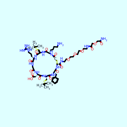 CC(C)(C)S/C=C1/NC(=O)[C@H](CCCCN)NC(=O)CS[C@@H](C(=O)NCCOCCOCCOCCNC(=O)COCC(N)=O)NC(=O)[C@H](Cc2ccccc2)NC(=O)[C@H](CSC(C)(C)C)NC(=O)[C@H](CC(=O)O)NC(=O)CNC(=O)[C@H](CCCNC(=N)N)NC1=O